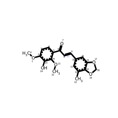 COc1ccc(C(=O)/C=C/c2cc(C)c3c(c2)OCO3)c(OC)c1O